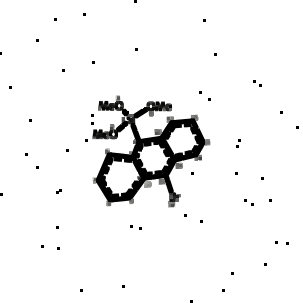 CO[Si](OC)(OC)c1c2ccccc2c(Br)c2ccccc12